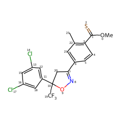 COC(=S)c1ccc(C2=NOC(c3cc(Cl)cc(Cl)c3)(C(F)(F)F)C2)cc1C